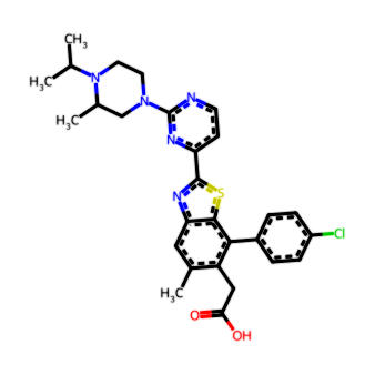 Cc1cc2nc(-c3ccnc(N4CCN(C(C)C)C(C)C4)n3)sc2c(-c2ccc(Cl)cc2)c1CC(=O)O